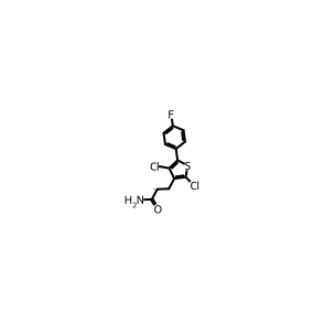 NC(=O)[CH]Cc1c(Cl)sc(-c2ccc(F)cc2)c1Cl